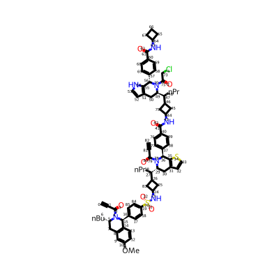 C#CC(=O)N1[C@@H](CCCC)Cc2cc(OC)ccc2[C@@H]1c1ccc(S(=O)(=O)NC2CC(C(CCC)[C@H]3Cc4ccsc4[C@H](c4ccc(C(=O)NC5CC(C(CCC)[C@H]6Cc7cc[nH]c7[C@H](c7ccc(C(=O)NC8CCC8)cc7)N6C(=O)CCl)C5)cc4)N3C(=O)C#C)C2)cc1